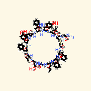 CCCC[C@H]1C(=O)N(C)CC(=O)N[C@@H](CC(=O)O)C(=O)N[C@@H](C(C)C)C(=O)N(C)[C@@H](Cc2ccccc2)C(=O)N[C@@H](Cc2ccc(O)cc2)C(=O)N2C[C@@H](O)C[C@@H]2C(=O)N[C@@H](Cc2c[nH]c3ccccc23)C(=O)N[C@@H](Cc2ccc(O)cc2)C(=O)N[C@@H](CC(C)C)C(=O)N[C@H](C(=O)NCC(N)=O)CSCC(=O)N[C@@H](Cc2ccccc2)C(=O)N(C)[C@@H](Cc2ccccc2)C(=O)N1C